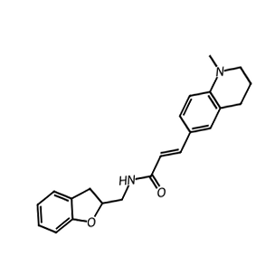 CN1CCCc2cc(C=CC(=O)NCC3Cc4ccccc4O3)ccc21